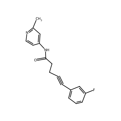 Cc1cc(NC(=O)CCC#Cc2cccc(F)c2)ccn1